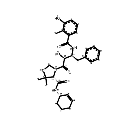 Cc1c(O)cccc1C(=O)N[C@@H](Cc1ccccc1)[C@H](O)C(=O)N1COC(C)(C)[C@H]1C(=O)N[C@@H]1C=CCCC1